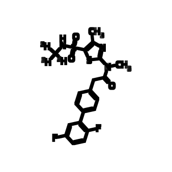 [2H]C([2H])([2H])NS(=O)(=O)c1sc(N(C)C(=O)Cc2ccc(-c3cc(F)ccc3F)cc2)nc1C